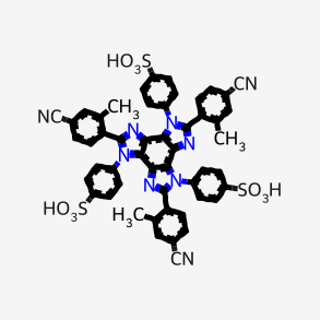 Cc1cc(C#N)ccc1-c1nc2c(c3nc(-c4ccc(C#N)cc4C)n(-c4ccc(S(=O)(=O)O)cc4)c3c3nc(-c4ccc(C#N)cc4C)n(-c4ccc(S(=O)(=O)O)cc4)c23)n1-c1ccc(S(=O)(=O)O)cc1